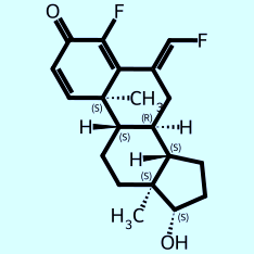 C[C@]12CC[C@H]3[C@@H](CC(=CF)C4=C(F)C(=O)C=C[C@@]43C)[C@@H]1CC[C@@H]2O